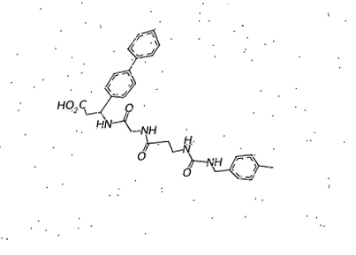 Cc1ccc(CNC(=O)NCCC(=O)NCC(=O)NC(CC(=O)O)c2ccc(-c3ccccc3)cc2)cc1